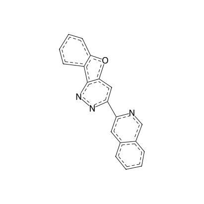 c1ccc2cc(-c3cc4oc5ccccc5c4nn3)ncc2c1